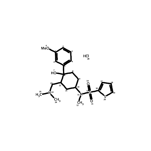 COc1cccc(C2(O)CCC(N(C)S(=O)(=O)c3cccs3)CC2CN(C)C)c1.Cl